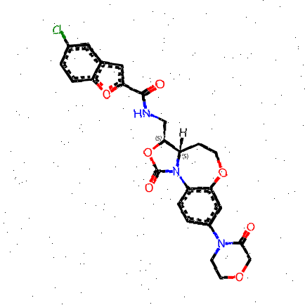 O=C(NC[C@@H]1OC(=O)N2c3ccc(N4CCOCC4=O)cc3OCC[C@@H]12)c1cc2cc(Cl)ccc2o1